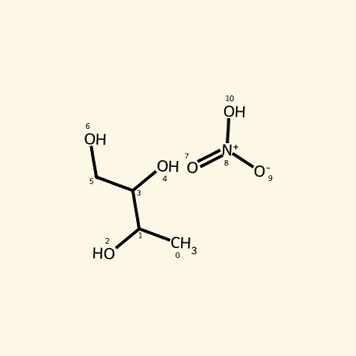 CC(O)C(O)CO.O=[N+]([O-])O